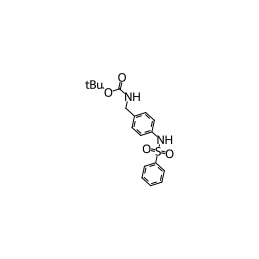 CC(C)(C)OC(=O)NCc1ccc(NS(=O)(=O)c2ccccc2)cc1